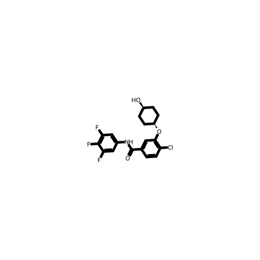 O=C(Nc1cc(F)c(F)c(F)c1)c1ccc(Cl)c(O[C@H]2CC[C@H](O)CC2)c1